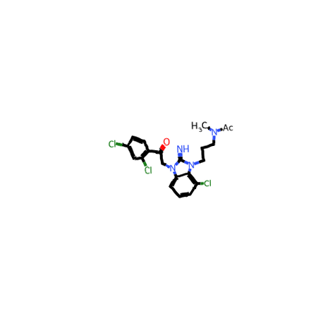 CC(=O)N(C)CCCn1c(=N)n(CC(=O)c2ccc(Cl)cc2Cl)c2cccc(Cl)c21